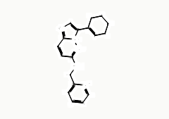 C1=C(c2cnc3ccc(NCc4ccccn4)nn23)CCCC1